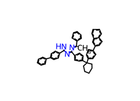 C/C(=N\C(=N/C(=N)c1ccc(-c2ccccc2)cc1)c1ccc(C2(c3ccc(-c4ccc5ccccc5c4)cc3)CCCCC2)cc1)c1ccccc1